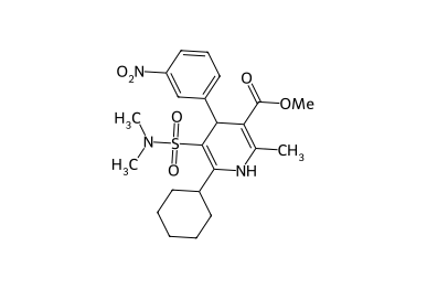 COC(=O)C1=C(C)NC(C2CCCCC2)=C(S(=O)(=O)N(C)C)C1c1cccc([N+](=O)[O-])c1